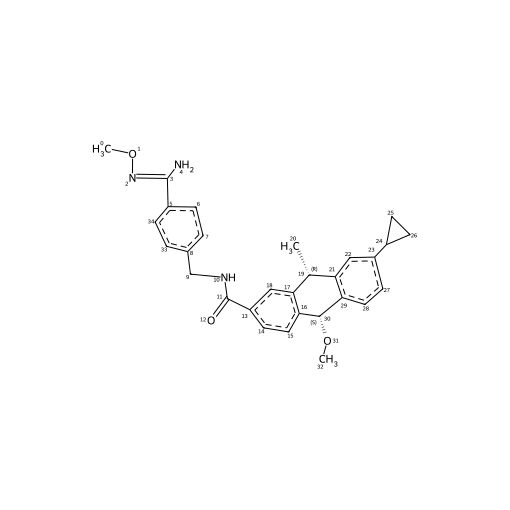 CON=C(N)c1ccc(CNC(=O)c2ccc3c(c2)[C@H](C)c2cc(C4CC4)ccc2[C@@H]3OC)cc1